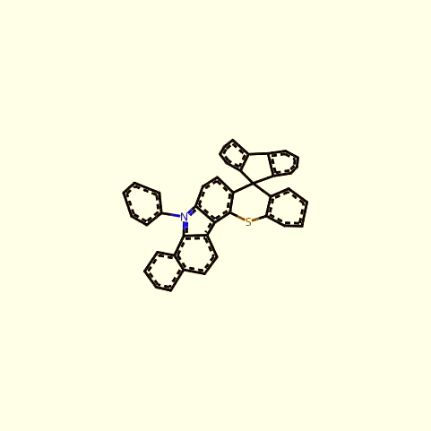 c1ccc(-n2c3ccc4c(c3c3ccc5ccccc5c32)Sc2ccccc2C42c3ccccc3-c3ccccc32)cc1